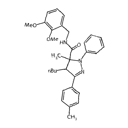 CCCCC1C(c2ccc(C)cc2)=NN(c2ccccc2)C1(C)C(=O)NCc1cccc(OC)c1OC